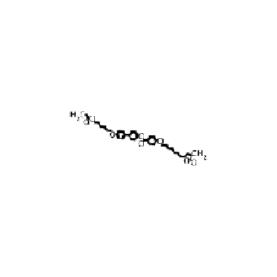 C=CC(=O)OCCCCCCOc1ccc(-c2ccc(OC(=O)c3ccc(OCCCCCCCC4CC(=C)C(=O)O4)cc3)cc2)cc1